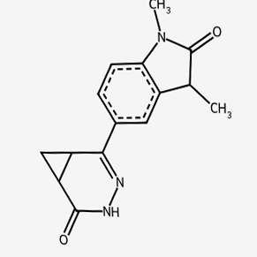 CC1C(=O)N(C)c2ccc(C3=NNC(=O)C4CC34)cc21